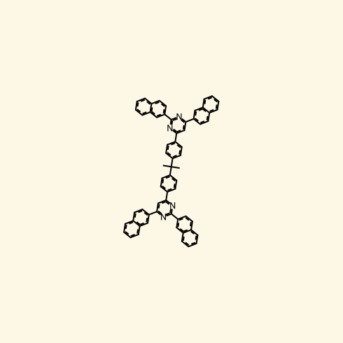 CC(C)(c1ccc(-c2cc(-c3ccc4ccccc4c3)nc(-c3ccc4ccccc4c3)n2)cc1)c1ccc(-c2cc(-c3ccc4ccccc4c3)nc(-c3ccc4ccccc4c3)n2)cc1